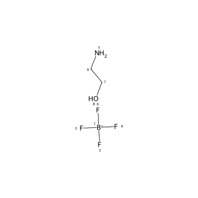 F[B-](F)(F)F.NCCO